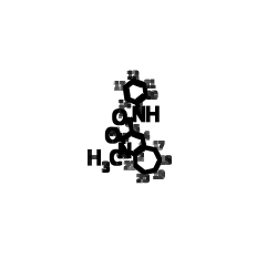 Cn1c2c(cc(C(=O)Nc3ccccc3)c1=O)CCCCC2